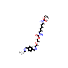 CC/N=C\c1ccc(/C=N\CCOCCOC(=O)NCCCCCCNC(=O)OC)cc1